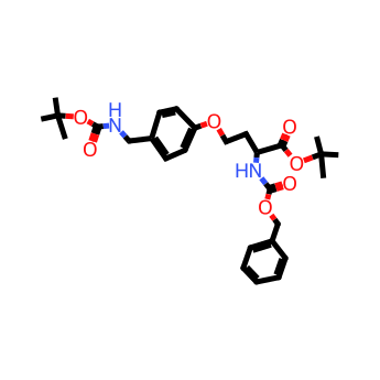 CC(C)(C)OC(=O)NCc1ccc(OCCC(NC(=O)OCc2ccccc2)C(=O)OC(C)(C)C)cc1